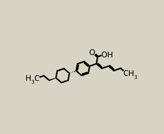 CCC=CC=C(C(=O)O)c1ccc([C@H]2CC[C@H](CCC)CC2)cc1